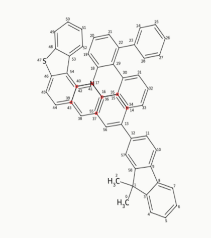 CC1(C)c2ccccc2-c2ccc(-c3ccc(N(c4cccc(-c5ccccc5)c4-c4ccccc4-c4ccccc4)c4cccc5sc6ccccc6c45)cc3)cc21